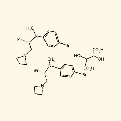 CC(C)[C@@H](CN1CCC1)N(C)c1ccc(Br)cc1.CC(C)[C@@H](CN1CCC1)N(C)c1ccc(Br)cc1.O=C(O)C(O)C(O)C(=O)O